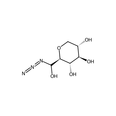 [N-]=[N+]=NC(O)[C@H]1OC[C@H](O)[C@@H](O)[C@@H]1O